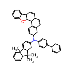 CC12C=CC=CC1C(C)(C)C1CC(N(c3ccc(C4C=CC=CC4)cc3)C3C=CC4=C(C=CC5C=CC6c7ccccc7OC6C45)C3)=CC=C12